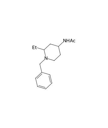 CCC1CC(NC(C)=O)CCN1Cc1ccccc1